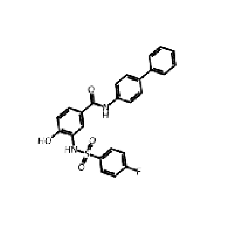 O=C(Nc1ccc(-c2ccccc2)cc1)c1ccc(O)c(NS(=O)(=O)c2ccc(F)cc2)c1